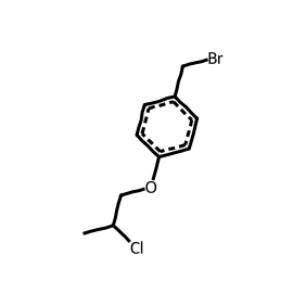 CC(Cl)COc1ccc(CBr)cc1